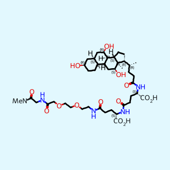 CNC(=O)CNC(=O)COCCOCCNC(=O)CC[C@H](NC(=O)CC[C@H](NC(=O)CC[C@@H](C)[C@H]1CC[C@H]2[C@@H]3[C@H](O)C[C@@H]4C[C@H](O)CC[C@]4(C)[C@H]3C[C@H](O)[C@]12C)C(=O)O)C(=O)O